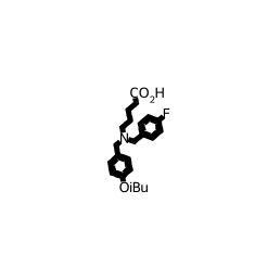 CC(C)COc1ccc(CN(CCCCC(=O)O)Cc2ccc(F)cc2)cc1